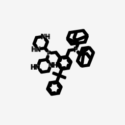 CC(C)(c1ccccc1)c1ccc(CP(C23CC4CC(CC(C4)C2)C3)C23CC4CC(CC(C4)C2)C3)c(CP(C2CNCCN2)C2CNCCN2)c1